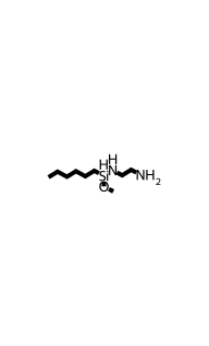 CCCCCC[SiH](NCCN)OC